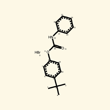 Br.CC(C)(C)c1ccc(OC(=O)Nc2ccccc2)cc1